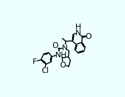 CC(c1c[nH]c(=O)c2ccccc12)N(CC1CCOC1)C(=O)Nc1ccc(F)c(Cl)c1